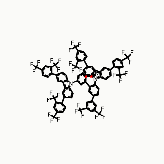 N#Cc1ccc(-n2c3ccc(-c4ccc(C(F)(F)F)cc4C(F)(F)F)cc3c3cc(-c4ccc(C(F)(F)F)cc4C(F)(F)F)ccc32)cc1-c1cc(-c2cc(C(F)(F)F)cc(C(F)(F)F)c2)ccc1-n1c2ccc(-c3ccc(C(F)(F)F)cc3C(F)(F)F)cc2c2cc(-c3ccc(C(F)(F)F)cc3C(F)(F)F)ccc21